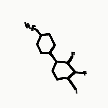 CC1CCC([C@@H]2CCC(I)C(F)C2F)CC1